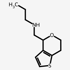 CCCNCC1OCCc2sccc21